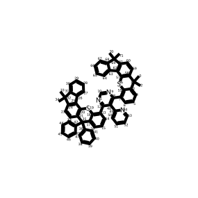 CC1(C)c2cccc(-c3ncnc(-c4cccc5c4Sc4c(ccc6c4-c4ccccc4C6(C)C)C5(c4ccccc4)c4ccccc4)c3-c3ccccn3)c2Sc2c1ccc1c2-c2ccccc2C1(C)C